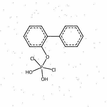 OP(O)(Cl)(Cl)Oc1ccccc1-c1ccccc1